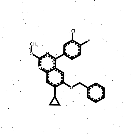 COc1nc(-c2ccc(F)c(Cl)c2)c2cc(OCc3ccccc3)c(C3CC3)cc2n1